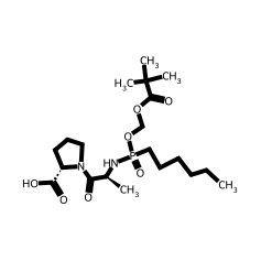 CCCCCCP(=O)(N[C@@H](C)C(=O)N1CCC[C@H]1C(=O)O)OCOC(=O)C(C)(C)C